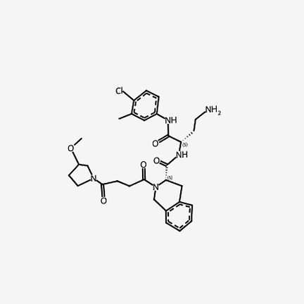 COC1CCN(C(=O)CCC(=O)N2Cc3ccccc3C[C@H]2C(=O)N[C@@H](CCN)C(=O)Nc2ccc(Cl)c(C)c2)C1